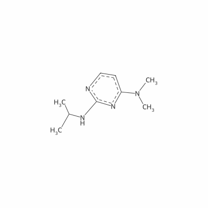 CC(C)Nc1nccc(N(C)C)n1